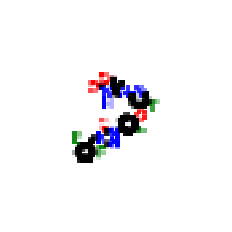 O=C1NC2(CO1)CN(c1cc(Oc3ccc(-n4ncn(Cc5c(F)cccc5F)c4=O)cc3F)c(F)cn1)C2